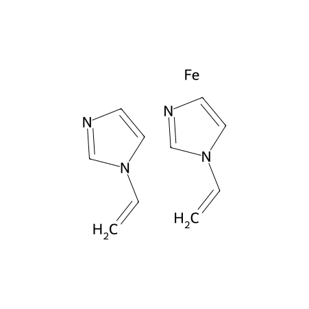 C=Cn1ccnc1.C=Cn1ccnc1.[Fe]